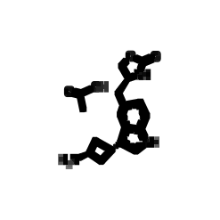 CC(=O)O.N[C@H]1C[C@H](c2c[nH]c3ccc(C[C@H]4COC(=O)N4)cc32)C1